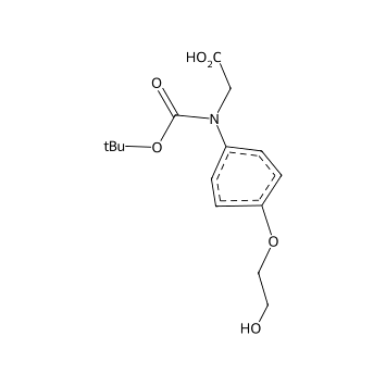 CC(C)(C)OC(=O)N(CC(=O)O)c1ccc(OCCO)cc1